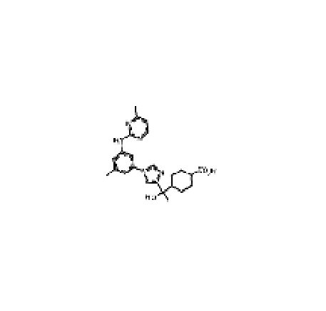 Cc1cc(Nc2nccc(C)n2)cc(-n2cnc(C(C)(O)C3CCC(C(=O)O)CC3)c2)c1